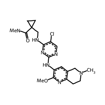 CNC(=O)C1(CNc2nc(Nc3cc4c(nc3OC)CCN(C)C4)ncc2Cl)CC1